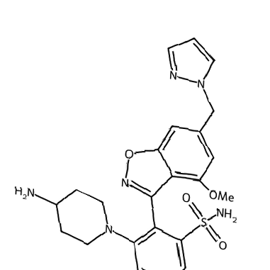 COc1cc(Cn2cccn2)cc2onc(-c3c(N4CCC(N)CC4)cccc3S(N)(=O)=O)c12